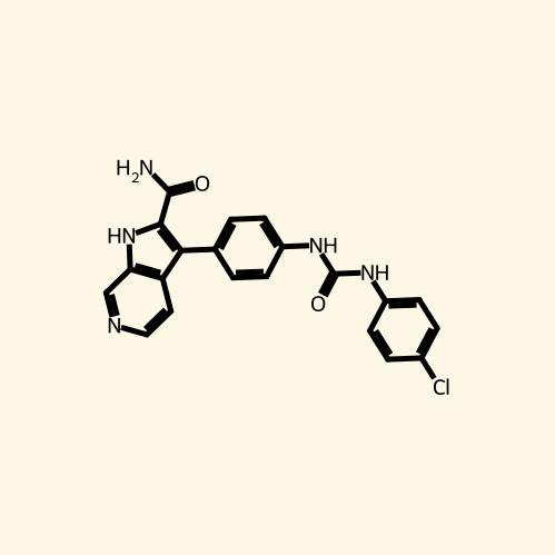 NC(=O)c1[nH]c2cnccc2c1-c1ccc(NC(=O)Nc2ccc(Cl)cc2)cc1